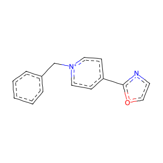 c1ccc(C[n+]2ccc(-c3ncco3)cc2)cc1